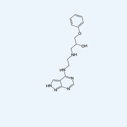 OC(CNCCNc1ncnc2n[nH]cc12)COc1ccccc1